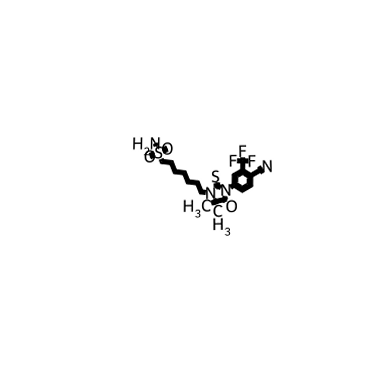 CC1(C)C(=O)N(c2ccc(C#N)c(C(F)(F)F)c2)C(=S)N1CCCCCCCS(N)(=O)=O